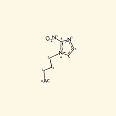 CC(=O)CCCn1ccnc1[N+](=O)[O-]